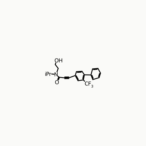 CC(C)N(CCO)C(=O)C#Cc1ccc(-c2ccccc2)c(C(F)(F)F)c1